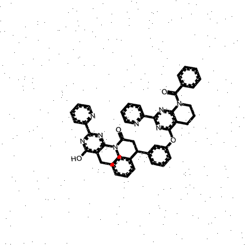 O=C(CC(c1ccccc1)c1cccc(Oc2nc(-c3ccccn3)nc3c2CCCN3C(=O)c2ccccc2)c1)N1CCCc2c(O)nc(-c3ccccn3)nc21